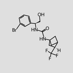 O=C(N[C@H](CO)c1cccc(Br)c1)NC12CC(C1)[C@@H](C(F)(F)F)C2